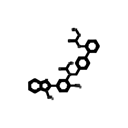 CCCC(=O)N(Cc1ccc(-c2ccccc2OC(=O)OC(C)(C)C)cc1)c1cc(-c2nc3ccccc3n2C)ccc1[N+](=O)[O-]